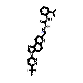 CC(C)c1ccccc1NC(=S)N/N=C/c1ccc2c(ccc3c2ncn3-c2ccc(C(F)(F)F)nn2)n1